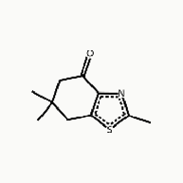 Cc1nc2c(s1)CC(C)(C)CC2=O